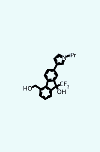 CC(C)n1ccc(-c2ccc3c(c2)C(O)(C(F)(F)F)c2cccc(CO)c2-3)c1